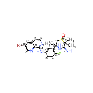 CC1(C)C(=N)N[C@](C)(c2cc(Nc3nccc4cc(Br)cnc34)ccc2F)C[S@+]1[O-]